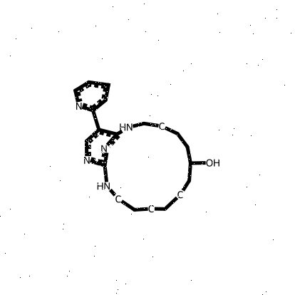 OC1CCCCCCNc2ncc(-c3ccccn3)c(n2)NCCCC1